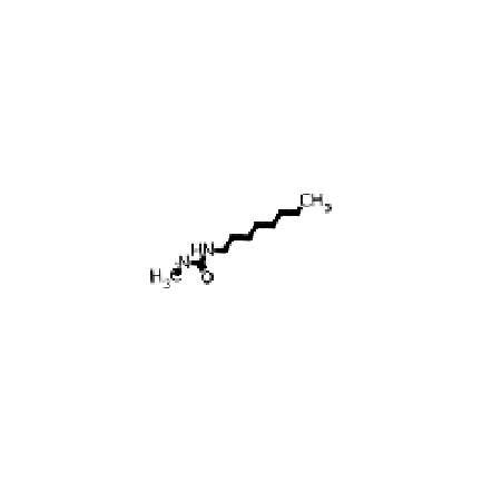 CCCCCCCCNC(=O)[N]C